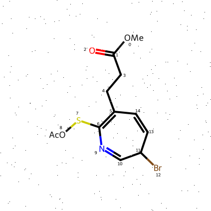 COC(=O)CCC1=C(SOC(C)=O)N=CC(Br)C=C1